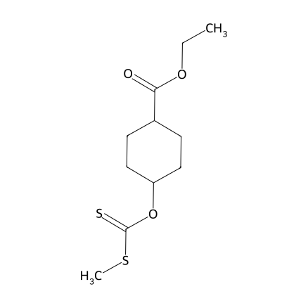 CCOC(=O)C1CCC(OC(=S)SC)CC1